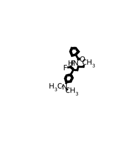 CCC(CC(=C(F)F)c1ccc(N(C)C)cc1)NC(=O)c1ccccc1